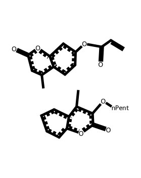 C=CC(=O)Oc1ccc2c(C)cc(=O)oc2c1.CCCCCOc1c(C)c2ccccc2oc1=O